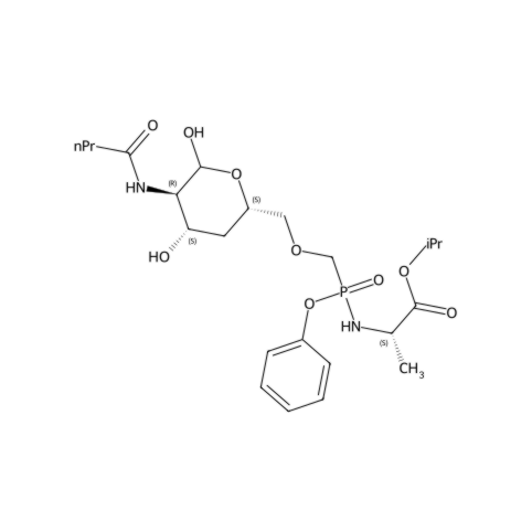 CCCC(=O)N[C@H]1C(O)O[C@H](COCP(=O)(N[C@@H](C)C(=O)OC(C)C)Oc2ccccc2)C[C@@H]1O